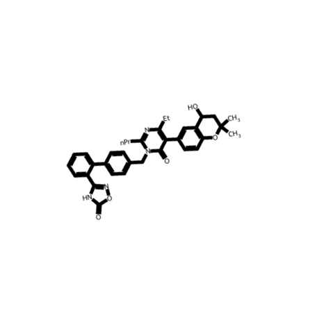 CCCc1nc(CC)c(-c2ccc3c(c2)C(O)CC(C)(C)O3)c(=O)n1Cc1ccc(-c2ccccc2-c2noc(=O)[nH]2)cc1